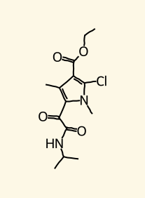 CCOC(=O)c1c(C)c(C(=O)C(=O)NC(C)C)n(C)c1Cl